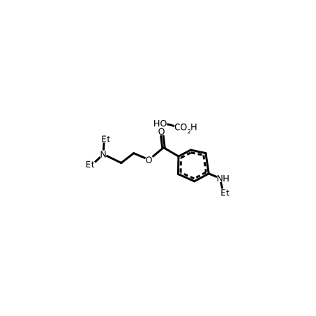 CCNc1ccc(C(=O)OCCN(CC)CC)cc1.O=C(O)O